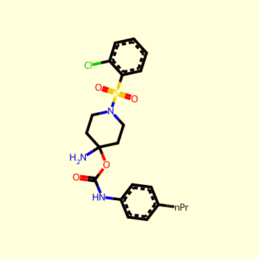 CCCc1ccc(NC(=O)OC2(N)CCN(S(=O)(=O)c3ccccc3Cl)CC2)cc1